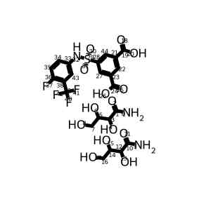 NC(=O)C(O)C(O)CO.NC(=O)C(O)C(O)CO.O=C(O)c1cc(C(=O)O)cc(S(=O)(=O)Nc2ccc(F)c(C(F)(F)F)c2)c1